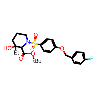 CCC1(O)CCCN(S(=O)(=O)c2ccc(OCc3ccc(F)cc3)cc2)C1C(=O)OC(C)(C)C